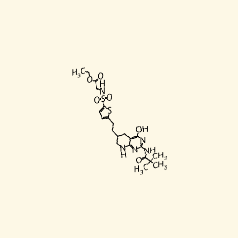 CCOC(=O)CNS(=O)(=O)c1ccc(CCC2CNc3nc(NC(=O)C(C)(C)C)nc(O)c3C2)s1